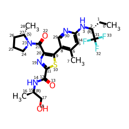 CC[C@@H](Nc1cc(C)c(-c2sc(C(=O)N[C@H](C)CO)nc2C(=O)N2CCC[C@@H]2C)cn1)C(F)(F)F